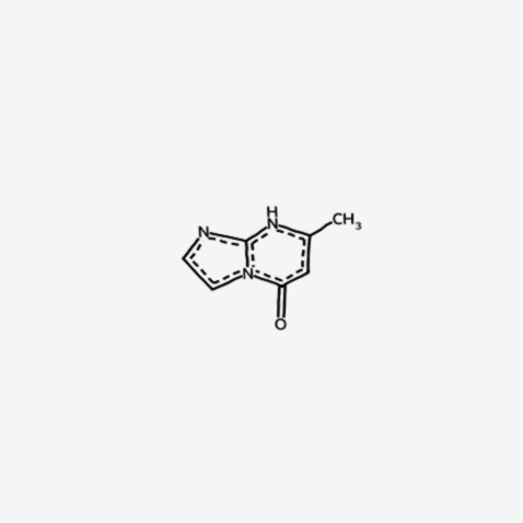 Cc1cc(=O)n2ccnc2[nH]1